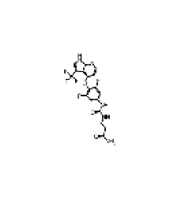 NC(=O)CCNC(=O)Nc1cc(F)c(Oc2ccnc3[nH]cc(C(F)(F)F)c23)c(F)c1